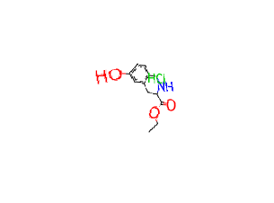 CCOC(=O)C1Cc2cc(O)ccc2CN1.Cl